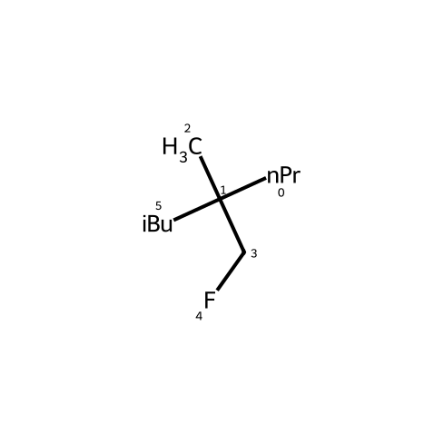 CCCC(C)(CF)C(C)CC